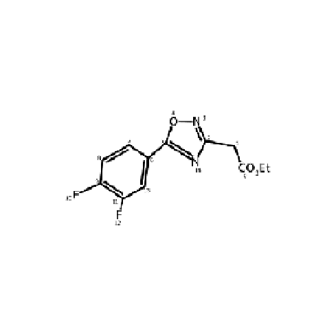 CCOC(=O)Cc1noc(-c2ccc(F)c(F)c2)n1